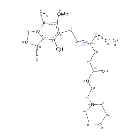 COc1c(C)c2c(c(O)c1C/C=C(\C)CCC(=O)OCCN1CCOCC1)C(=O)OC2.[Cl-].[H+]